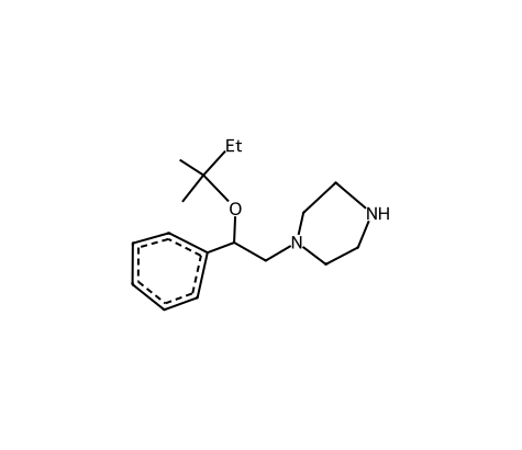 CCC(C)(C)OC(CN1CCNCC1)c1ccccc1